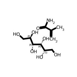 C=C(C)C(N)=O.OC[C@@H](O)[C@@H](O)[C@H](O)[C@@H](O)CO